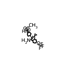 CCCS(=O)(=O)Nc1ccc(-c2c(N)c3ccc(OCC(F)(F)F)cc3n2C2CC2)cc1